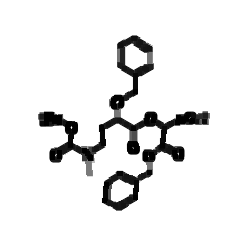 CCCCCCCCC(OC(=O)C(CCN(C)C(=O)OC(C)(C)C)OCc1ccccc1)C(=O)OCc1ccccc1